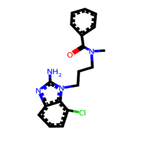 CN(CCCn1c(N)nc2cccc(Cl)c21)C(=O)c1ccccc1